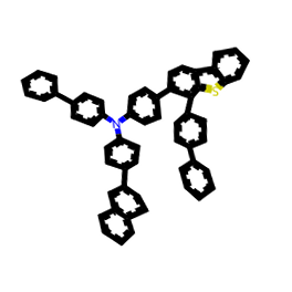 c1ccc(-c2ccc(-c3c(-c4ccc(N(c5ccc(-c6ccccc6)cc5)c5ccc(-c6ccc7ccccc7c6)cc5)cc4)ccc4c3sc3ccccc34)cc2)cc1